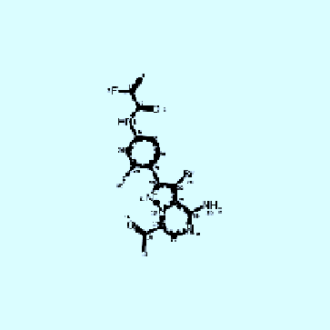 C=C(F)C(=O)Nc1ccc(-c2nn3c(C(C)=O)cnc(N)c3c2Br)c(F)c1